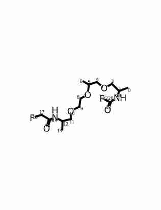 CC(COCC(C)OCCOCC(C)NC(=O)CF)NC(=O)F